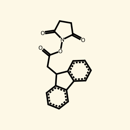 O=C(CC1c2ccccc2-c2ccccc21)ON1C(=O)CCC1=O